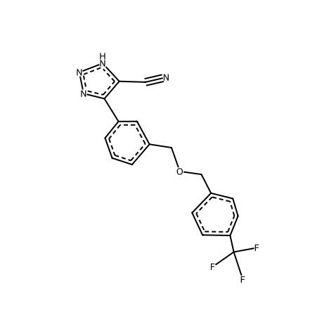 N#Cc1[nH]nnc1-c1cccc(COCc2ccc(C(F)(F)F)cc2)c1